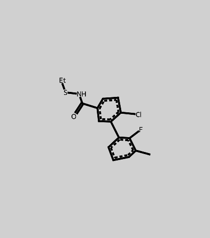 CCSNC(=O)c1ccc(Cl)c(-c2cccc(C)c2F)c1